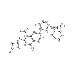 CC(C)n1c(CN2CC(F)C2)cc(=O)c2ccc(-c3nc(N[C@@H]4CCOC[C@H]4O)ncc3F)cc21